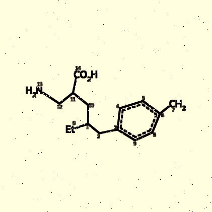 CCC(Cc1ccc(C)cc1)CC(CN)C(=O)O